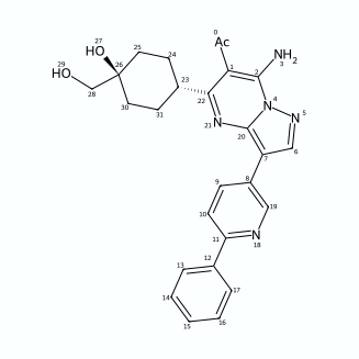 CC(=O)c1c(N)n2ncc(-c3ccc(-c4ccccc4)nc3)c2nc1[C@H]1CC[C@@](O)(CO)CC1